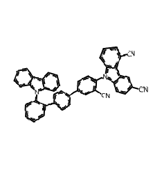 N#Cc1ccc2c(c1)c1c(C#N)cccc1n2-c1ccc(-c2ccc(-c3ccccc3-n3c4ccccc4c4ccccc43)cc2)cc1C#N